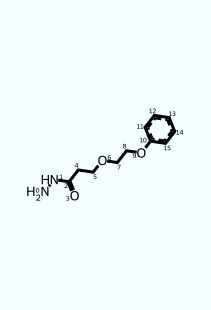 NNC(=O)CCOCCOc1ccccc1